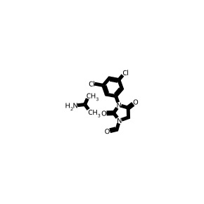 CC(C)N.O=CN1CC(=O)N(c2cc(Cl)cc(Cl)c2)C1=O